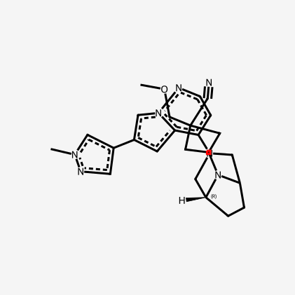 COCC1(C#N)CC(N2C3CC[C@@H]2CN(c2ccnn4cc(-c5cnn(C)c5)cc24)C3)C1